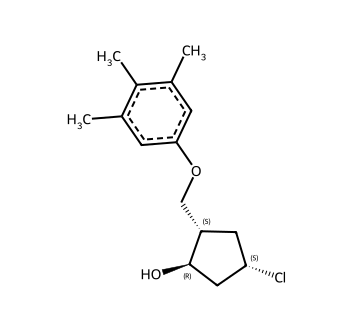 Cc1cc(OC[C@@H]2C[C@H](Cl)C[C@H]2O)cc(C)c1C